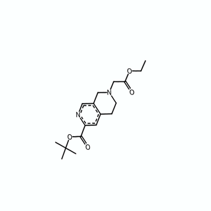 CCOC(=O)CN1CCc2cc(C(=O)OC(C)(C)C)ncc2C1